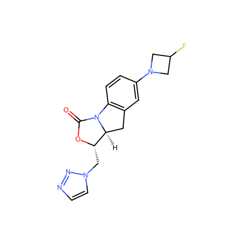 O=C1O[C@@H](Cn2ccnn2)[C@@H]2Cc3cc(N4CC(F)C4)ccc3N12